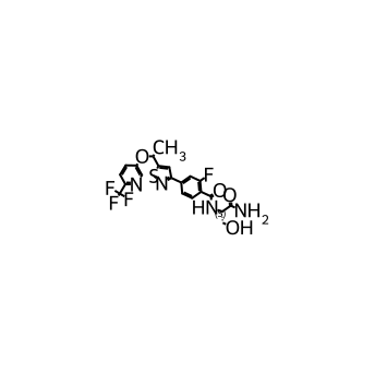 CC(Oc1ccc(C(F)(F)F)nc1)c1cc(-c2ccc(C(=O)N[C@@H](CO)C(N)=O)c(F)c2)ns1